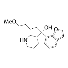 COCCCC[C@@](O)(c1cccc2ccoc12)[C@@H]1CCCNC1